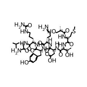 CSCC[C@H](NC(=O)[C@@H](C)CO)C(=O)N[C@H](C(=O)N[C@@H](CC(=O)O)C(=O)N[C@@H](CCCCN)C(=O)N[C@@H](Cc1ccc(O)cc1)C(=O)N[C@@H](CCCNC(N)=O)C(=O)N[C@@H](CC(C)C)C(N)=O)[C@@H](C)O